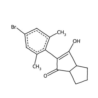 Cc1cc(Br)cc(C)c1C1=C(O)C2CCCC2C1=O